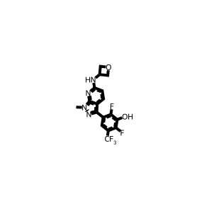 Cn1nc(-c2cc(C(F)(F)F)c(F)c(O)c2F)c2ccc(NC3COC3)nc21